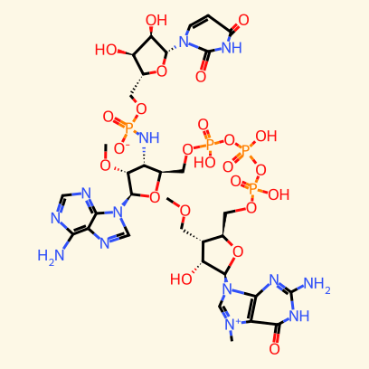 COC[C@H]1[C@@H](O)[C@H](n2c[n+](C)c3c(=O)[nH]c(N)nc32)O[C@@H]1COP(=O)(O)OP(=O)(O)OP(=O)(O)OC[C@H]1O[C@@H](n2cnc3c(N)ncnc32)[C@H](OC)[C@@H]1NP(=O)([O-])OC[C@H]1O[C@@H](n2ccc(=O)[nH]c2=O)[C@H](O)[C@@H]1O